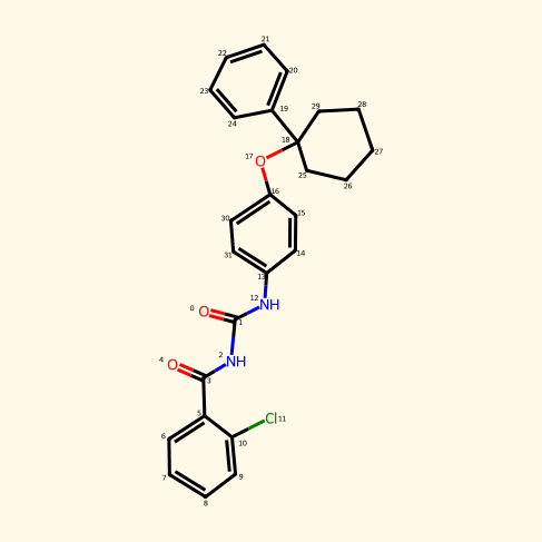 O=C(NC(=O)c1ccccc1Cl)Nc1ccc(OC2(c3ccccc3)CCCCC2)cc1